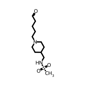 CS(=O)(=O)NCC1CCN(CCCCC=O)CC1